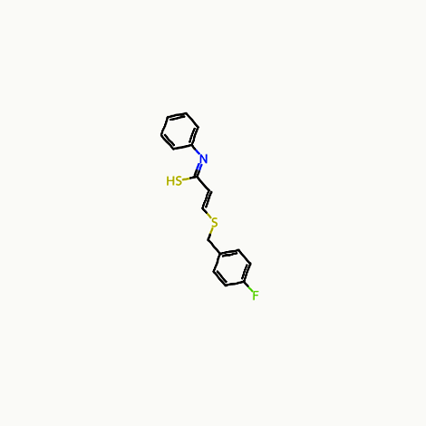 Fc1ccc(CSC=CC(S)=Nc2ccccc2)cc1